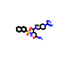 CCCCN(CC1CCN(C(=N)N)CC1)C(=O)C(CC(N)=O)NS(=O)(=O)c1ccc2ccccc2c1